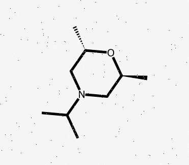 CC(C)N1C[C@H](C)O[C@@H](C)C1